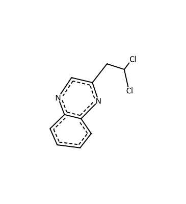 ClC(Cl)Cc1cnc2ccccc2n1